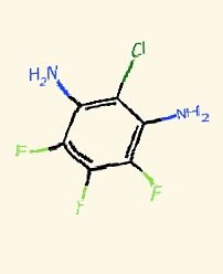 Nc1c(F)c(F)c(F)c(N)c1Cl